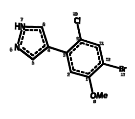 COc1cc(-c2cn[nH]c2)c(Cl)cc1Br